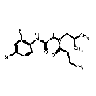 CCCC(=O)N(CC(C)C)NC(=O)Nc1ccc(Br)cc1F